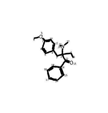 CCC(Cc1ccc(OC)cc1)(C(=O)c1ccccc1)N(C)C